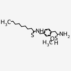 CCCCCCCCC(=S)NCc1ccc(CC(N)S)c(OC)c1